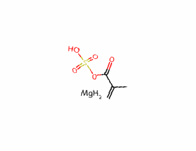 C=C(C)C(=O)OS(=O)(=O)O.[MgH2]